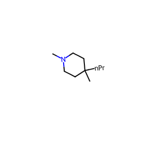 CCCC1(C)CCN(C)CC1